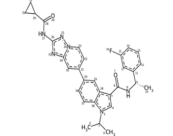 CC(C)n1cc(C(=O)N[C@@H](C)c2cccc(F)c2)c2cc(-c3ccn4nc(NC(=O)C5CC5)nc4c3)ccc21